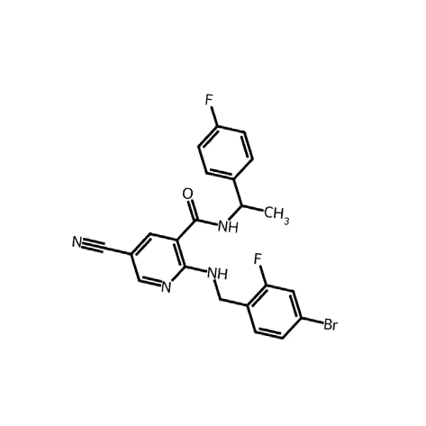 CC(NC(=O)c1cc(C#N)cnc1NCc1ccc(Br)cc1F)c1ccc(F)cc1